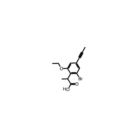 CC#Cc1cc(Br)c(C(C)C(=O)O)c(OCC)c1